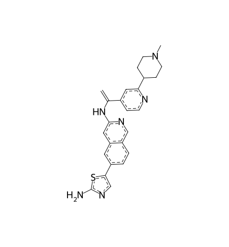 C=C(Nc1cc2cc(-c3cnc(N)s3)ccc2cn1)c1ccnc(C2CCN(C)CC2)c1